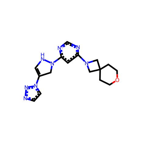 C1=C(n2ccnn2)CN(c2cc(N3CC4(CCOCC4)C3)ncn2)N1